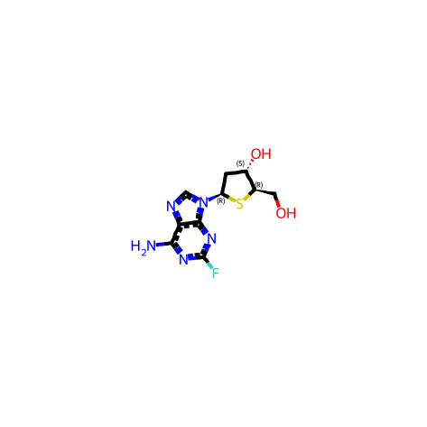 Nc1nc(F)nc2c1ncn2[C@H]1C[C@H](O)[C@@H](CO)S1